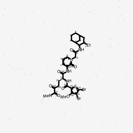 CCC1CC2CCCC(C2)C1NC(=O)Cn1cccc(NC(=O)[C@H](CCC(=O)C(=O)NC)NC(=O)c2sc(Br)c(Br)c2OC)c1=O